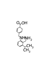 CC(C)c1cccc(NCC2=CCC(C(=O)O)C=C2)c1CN